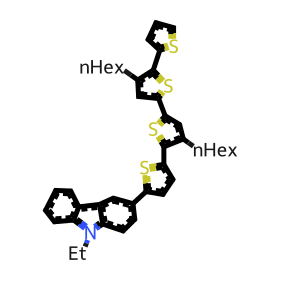 CCCCCCc1cc(-c2cc(CCCCCC)c(-c3ccc(-c4ccc5c(c4)c4ccccc4n5CC)s3)s2)sc1-c1cccs1